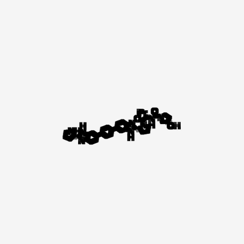 CC(C)[C@H](NC(=O)N1CC[C@H](O)C1)C(=O)N1CCC[C@H]1c1nc2ccc(-c3ccc(-c4ccc5nc([C@@H]6CCCN6)[nH]c5c4)cc3)cc2[nH]1